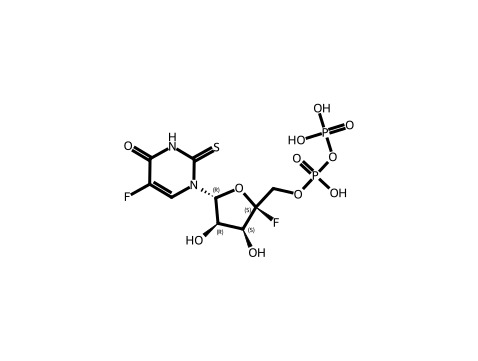 O=c1[nH]c(=S)n([C@@H]2O[C@](F)(COP(=O)(O)OP(=O)(O)O)[C@@H](O)[C@H]2O)cc1F